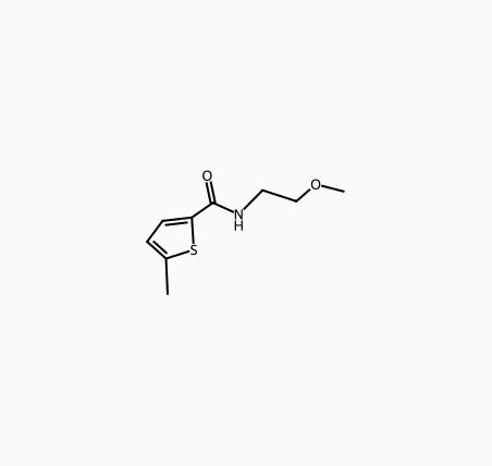 COCCNC(=O)c1ccc(C)s1